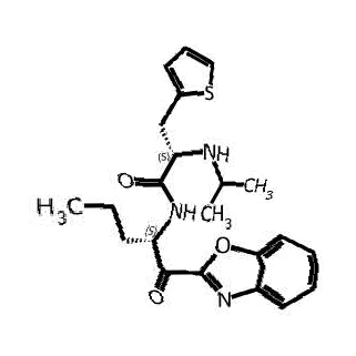 CCC[C@H](NC(=O)[C@H](Cc1cccs1)NC(C)C)C(=O)c1nc2ccccc2o1